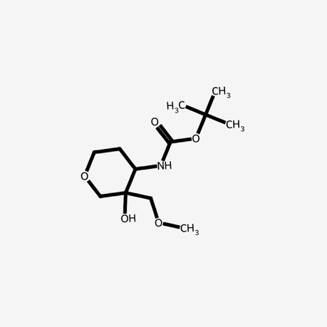 COCC1(O)COCCC1NC(=O)OC(C)(C)C